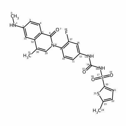 CNc1ccc2c(=O)n(-c3ccc(NC(=O)NS(=O)(=O)c4ccc(C)s4)cc3F)cc(C)c2c1